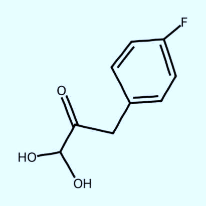 O=C(Cc1ccc(F)cc1)C(O)O